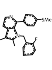 CSc1ccc(-c2nccc3c(C)c(C)n(Cc4ccccc4F)c23)cc1